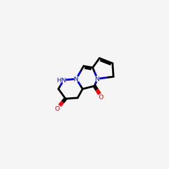 O=C1CNN2C=C3C=CCN3C(=O)C2C1